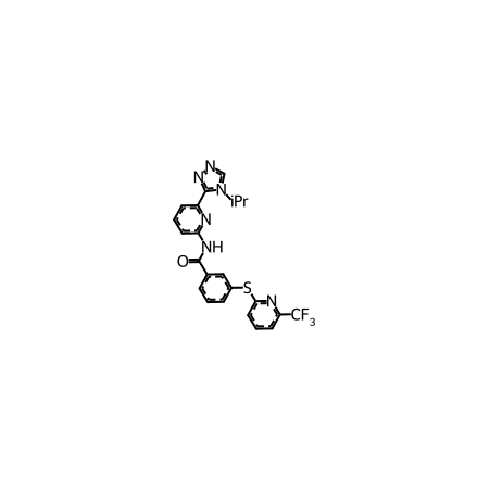 CC(C)n1cnnc1-c1cccc(NC(=O)c2cccc(Sc3cccc(C(F)(F)F)n3)c2)n1